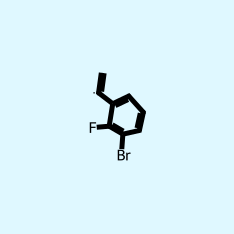 C=[C]c1cccc(Br)c1F